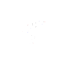 CC(=O)O[C@@H](C(=O)Nc1ccc(-c2noc(=O)[nH]2)cc1)[C@H]1OCCN(c2cc(C(=O)N3CCOCC3)ccc2C)C1=O